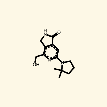 CC1(C)CCCN1c1cc2c(c(CO)n1)CNC2=O